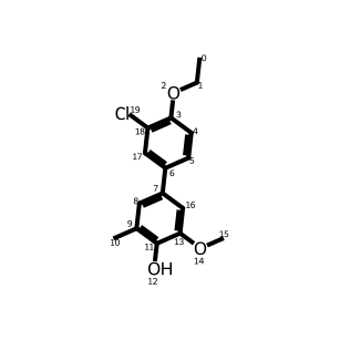 CCOc1ccc(-c2cc(C)c(O)c(OC)c2)cc1Cl